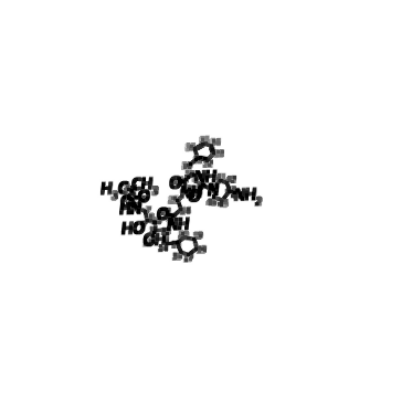 CC(C)S(=O)(=O)NC[C@H](O)C[C@H](O)[C@H](CC1CCCCC1)NC(=O)CCNC(=O)[C@H](Cc1ccccc1)NC(=O)N1CCC(N)CC1